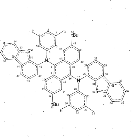 Cc1cc(C)cc(N(c2c3ccc(C(C)(C)C)cc3c(N(c3cc(C)cc(C)c3)c3cccc4c3sc3ccccc34)c3ccc(C(C)(C)C)cc23)c2cccc3c2sc2ccccc23)c1